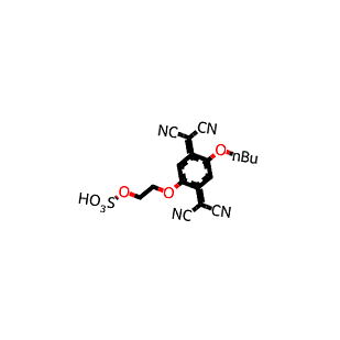 CCCCOc1cc(=C(C#N)C#N)c(OCCOS(=O)(=O)O)cc1=C(C#N)C#N